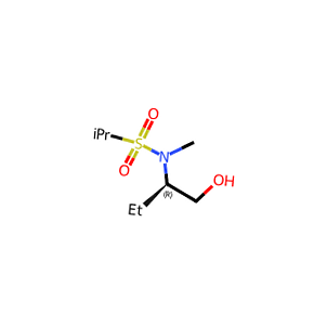 CC[C@H](CO)N(C)S(=O)(=O)C(C)C